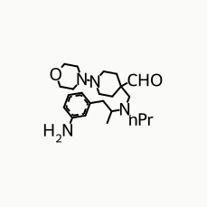 CCCN(CC1(C=O)CCN(N2CCOCC2)CC1)C(C)Cc1cccc(N)c1